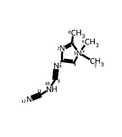 CC1=NC=C[N+]1(C)C.N#CNC#N